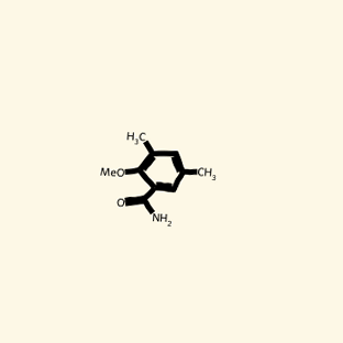 COc1c(C)cc(C)cc1C(N)=O